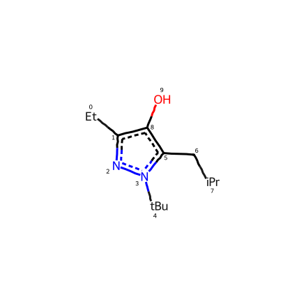 CCc1nn(C(C)(C)C)c(CC(C)C)c1O